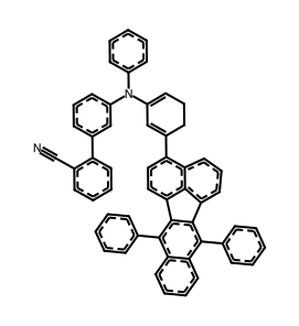 N#Cc1ccccc1-c1cccc(N(C2=CCCC(c3ccc4c5c(cccc35)-c3c-4c(-c4ccccc4)c4ccccc4c3-c3ccccc3)=C2)c2ccccc2)c1